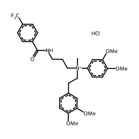 COc1ccc(CC[N+](C)(CCCNC(=O)c2ccc(C(F)(F)F)cc2)c2ccc(OC)c(OC)c2)cc1OC.Cl